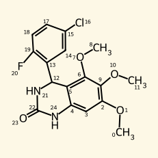 COc1cc2c(c(OC)c1OC)C(c1cc(Cl)ccc1F)NC(=O)N2